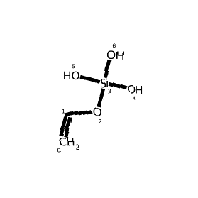 C=CO[Si](O)(O)O